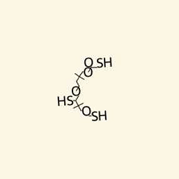 CC(C)(CCOCC(S)C(C)(C)COCS)COC(=O)CS